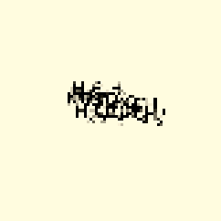 CCC(CC)(O[SiH](C)C(C)(C)O[Si](C)(C)C)[Si](C)(C)CN=[N+]=[N-]